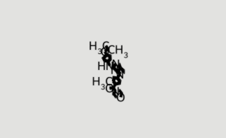 Cc1cc(-n2ccc3cnc(Nc4ccc(OC(C)C)cc4)nc32)ccc1C(=O)N1CCOCC1